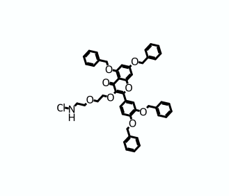 O=c1c(OCCOCCNCl)c(-c2ccc(OCc3ccccc3)c(OCc3ccccc3)c2)oc2cc(OCc3ccccc3)cc(OCc3ccccc3)c12